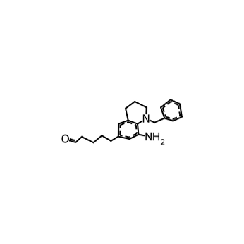 Nc1cc(CCCCC=O)cc2c1N(Cc1ccccc1)CCC2